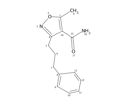 Cc1onc(CCCc2ccccc2)c1C(N)=O